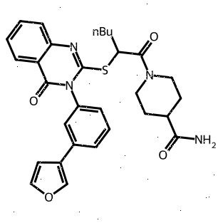 CCCCC(Sc1nc2ccccc2c(=O)n1-c1cccc(-c2ccoc2)c1)C(=O)N1CCC(C(N)=O)CC1